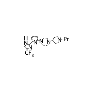 CC(C)N1CCC(N2CCCN(c3cccc(-c4nc(C(F)(F)F)c[nH]4)n3)CC2)CC1